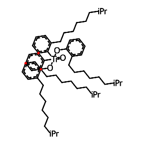 CC(C)CCCCCCc1ccccc1[O][Ti](=[O])([O]c1ccccc1CCCCCCC(C)C)([c]1ccccc1CCCCCCC(C)C)[c]1ccccc1CCCCCCC(C)C